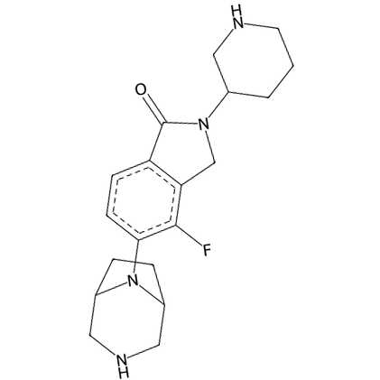 O=C1c2ccc(N3C4CCC3CNC4)c(F)c2CN1C1CCCNC1